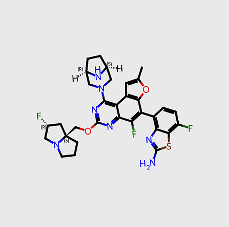 Cc1cc2c(o1)c(-c1ccc(F)c3sc(N)nc13)c(F)c1nc(OC[C@@]34CCCN3C[C@H](F)C4)nc(N3C[C@H]4CC[C@@H](C3)N4)c12